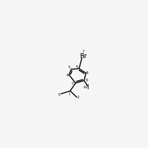 CC(C)c1ccc(Br)cc1I